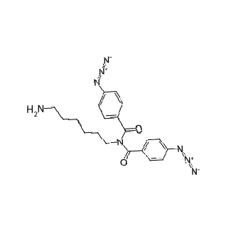 [N-]=[N+]=Nc1ccc(C(=O)N(CCCCCCN)C(=O)c2ccc(N=[N+]=[N-])cc2)cc1